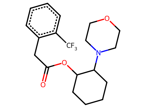 O=C(Cc1ccccc1C(F)(F)F)OC1CCCCC1N1CCOCC1